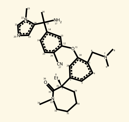 CC[C@@]1(c2ccc(CN(C)C)c(Oc3cc(C(C)(N)c4cncn4C)ccc3C#N)c2)CCCCN(C)C1=O